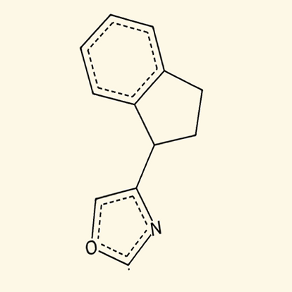 [c]1nc(C2CCc3ccccc32)co1